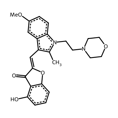 COc1ccc2c(c1)c(/C=C1\Oc3cccc(O)c3C1=O)c(C)n2CCN1CCOCC1